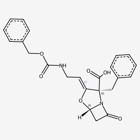 O=C(NC/C=C1\O[C@H]2CC(=O)N2[C@]1(Cc1ccccc1)C(=O)O)OCc1ccccc1